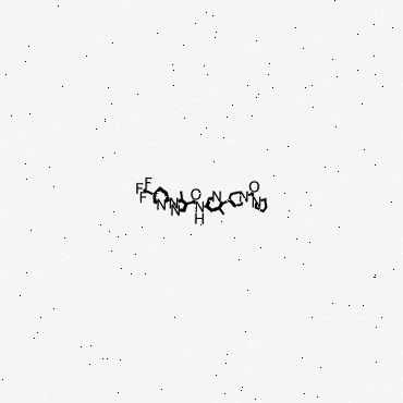 Cc1cc(NC(=O)c2cnn(-c3ccc(C(F)(F)F)cn3)c2C)cnc1C1=CCN(C(=O)N2CCCC2)CC1